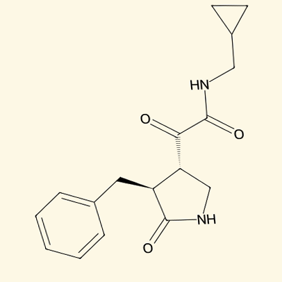 O=C(NCC1CC1)C(=O)[C@@H]1CNC(=O)[C@H]1Cc1ccccc1